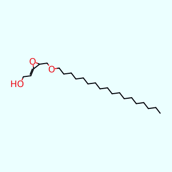 CCCCCCCCCCCCCCCCCCOCC1OC1=CCO